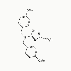 CCOC(=O)c1coc(N(Cc2ccc(OC)cc2)Cc2ccc(OC)cc2)n1